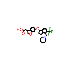 O=C(O)CC1COc2cc(O[C@@H]3CCc4c3ccc(C(F)(F)F)c4CN3CCCCCC3)ccc21